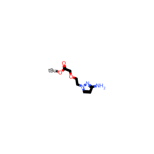 CC(C)(C)OC(=O)COCCn1ccc(N)n1